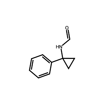 O=CNC1(c2ccccc2)CC1